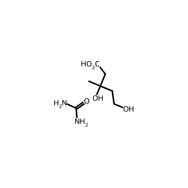 CC(O)(CCO)CC(=O)O.NC(N)=O